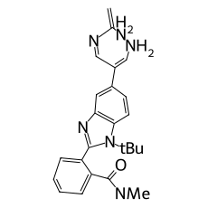 C=C(N)/N=C\C(=C/N)c1ccc2c(c1)nc(-c1ccccc1C(=O)NC)n2C(C)(C)C